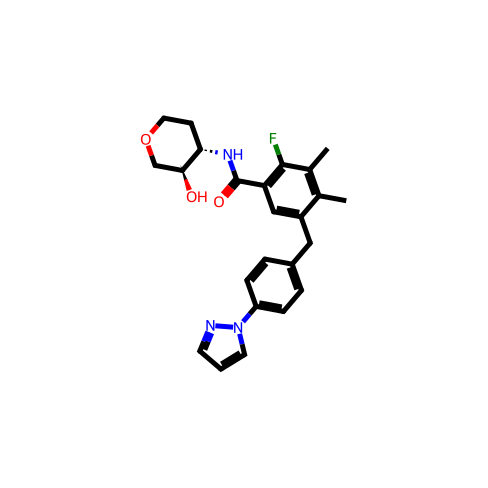 Cc1c(Cc2ccc(-n3cccn3)cc2)cc(C(=O)N[C@H]2CCOC[C@@H]2O)c(F)c1C